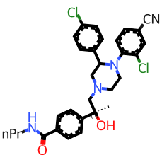 CCCNC(=O)c1ccc([C@](C)(O)CN2CCN(c3ccc(C#N)cc3Cl)C(c3ccc(Cl)cc3)C2)cc1